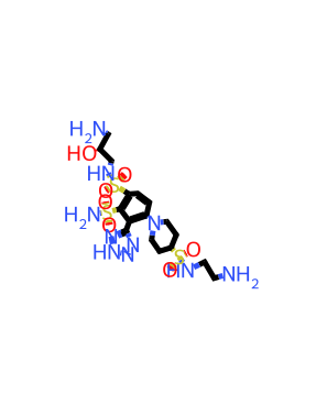 NCCNS(=O)(=O)C1CCN(c2ccc(S(=O)(=O)NC[C@H](O)CN)c(S(N)(=O)=O)c2-c2nn[nH]n2)CC1